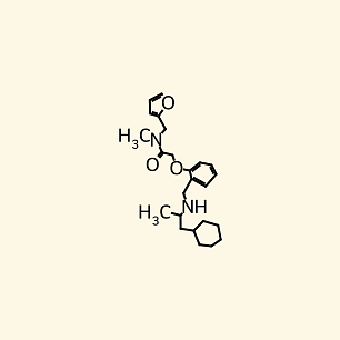 CC(CC1CCCCC1)NCc1ccccc1OCC(=O)N(C)Cc1ccco1